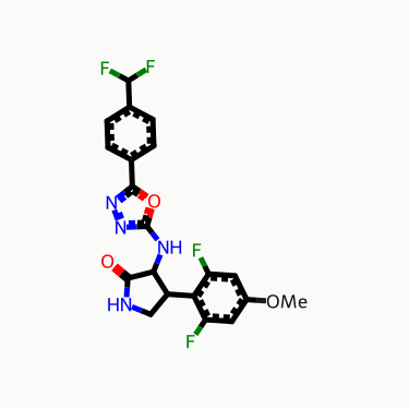 COc1cc(F)c(C2CNC(=O)C2Nc2nnc(-c3ccc(C(F)F)cc3)o2)c(F)c1